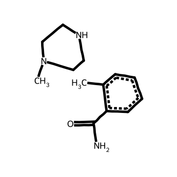 CN1CCNCC1.Cc1ccccc1C(N)=O